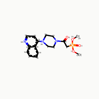 CCOP(=O)(CC(=O)N1CCN(c2ccnc3ccccc23)CC1)OCC